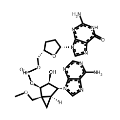 COC[C@]12C[C@@H]1[C@@H](n1cnc3c(N)ncnc31)[C@H](O)[C@@H]2O[PH](=O)OC[C@@H]1CC[C@H](n2cnc3c(=O)[nH]c(N)nc32)O1